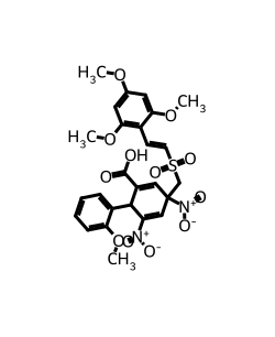 COc1cc(OC)c(/C=C/S(=O)(=O)CC2([N+](=O)[O-])C=C(C(=O)O)C(c3ccccc3OC)C([N+](=O)[O-])=C2)c(OC)c1